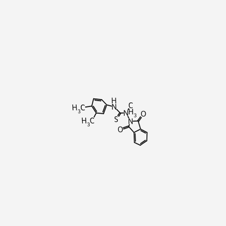 Cc1ccc(NC(=S)N(C)N2C(=O)c3ccccc3C2=O)cc1C